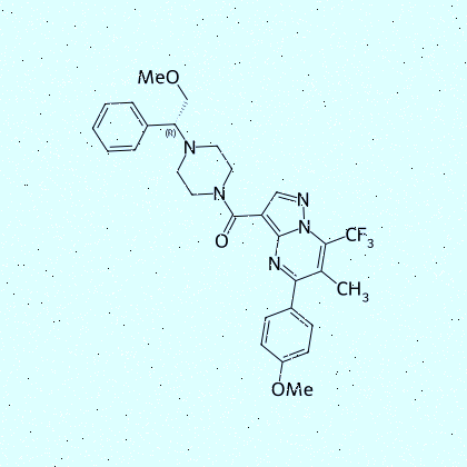 COC[C@@H](c1ccccc1)N1CCN(C(=O)c2cnn3c(C(F)(F)F)c(C)c(-c4ccc(OC)cc4)nc23)CC1